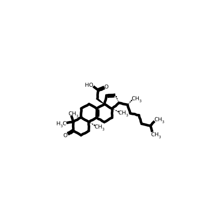 CC(C)CCC[C@@H](C)[C@H]1C=C[C@@]2(CC(=O)O)C3=C(CC[C@]12C)[C@@]1(C)CCC(=O)C(C)(C)C1CC3